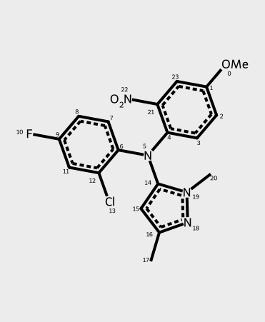 COc1ccc(N(c2ccc(F)cc2Cl)c2cc(C)nn2C)c([N+](=O)[O-])c1